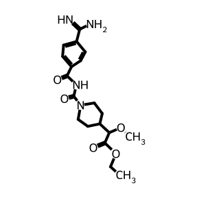 CCOC(=O)C(OC)C1CCN(C(=O)NC(=O)c2ccc(C(=N)N)cc2)CC1